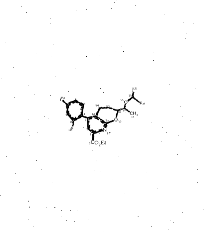 CCOC(=O)c1cc(-c2ccc(F)cc2F)c2c(n1)OC(C(C)OC(F)F)CC2